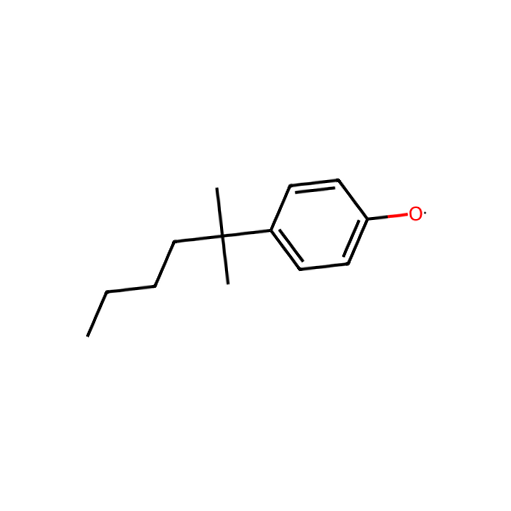 CCCCC(C)(C)c1ccc([O])cc1